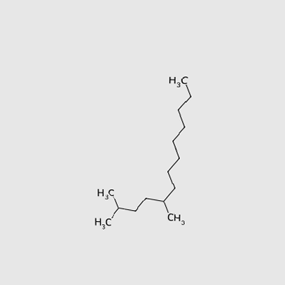 CCCCCCCCC(C)CCC(C)C